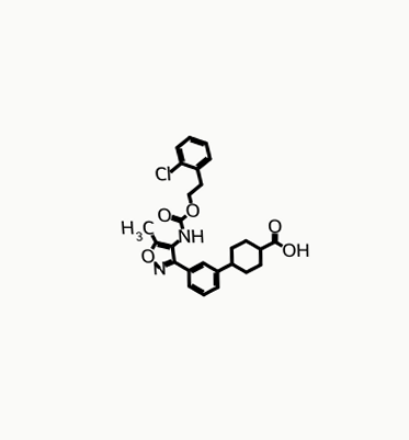 Cc1onc(-c2cccc(C3CCC(C(=O)O)CC3)c2)c1NC(=O)OCCc1ccccc1Cl